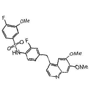 COc1cc(S(=O)(=O)Nc2ccc(Cc3ccnc4cc(OC)c(OC)cc34)cc2F)ccc1F